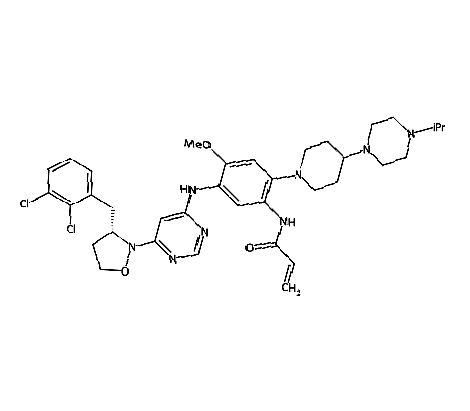 C=CC(=O)Nc1cc(Nc2cc(N3OCC[C@@H]3Cc3cccc(Cl)c3Cl)ncn2)c(OC)cc1N1CCC(N2CCN(C(C)C)CC2)CC1